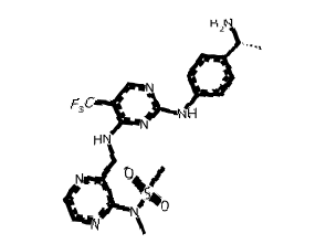 C[C@@H](N)c1ccc(Nc2ncc(C(F)(F)F)c(NCc3nccnc3N(C)S(C)(=O)=O)n2)cc1